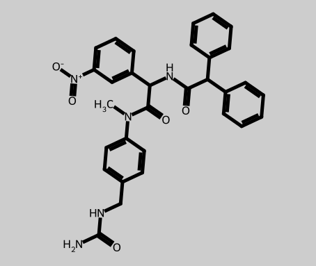 CN(C(=O)C(NC(=O)C(c1ccccc1)c1ccccc1)c1cccc([N+](=O)[O-])c1)c1ccc(CNC(N)=O)cc1